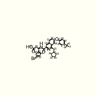 CC(C)(C)c1ccc(Oc2ccc3cc(C(=O)NC(CC(=O)O)c4ccc(Br)s4)nc(CC4CCCC4)c3c2)cc1